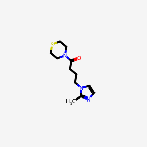 Cc1n[c]cn1CCCC(=O)N1CCSCC1